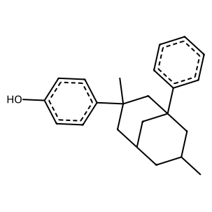 CC1CC2CC(C)(c3ccc(O)cc3)CC(c3ccccc3)(C1)C2